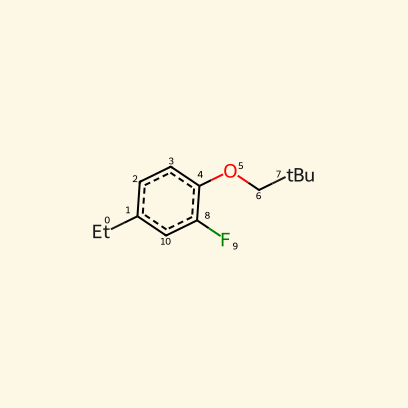 CCc1ccc(OCC(C)(C)C)c(F)c1